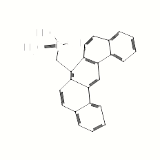 C=P(C)(C)Cc1c2ccc3ccccc3c2cc2c1ccc1ccccc12